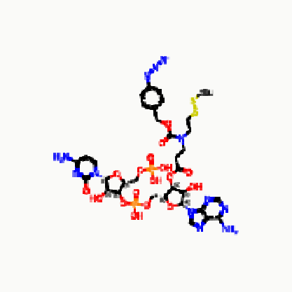 CC(C)(C)SSCCN(CCC(=O)O[C@H]1[C@@H](O)[C@H](n2cnc3c(N)ncnc32)O[C@@H]1COP(=O)(O)O[C@H]1[C@@H](O)[C@H](n2ccc(N)nc2=O)O[C@@H]1COP(=O)(O)O)C(=O)OCc1ccc(N=[N+]=[N-])cc1